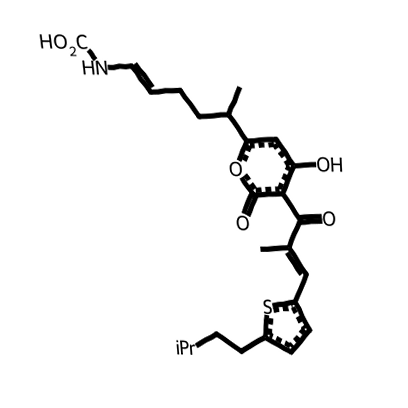 C/C(=C\c1ccc(CCC(C)C)s1)C(=O)c1c(O)cc(C(C)CC/C=C/NC(=O)O)oc1=O